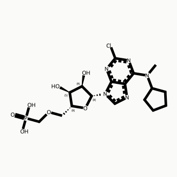 CN(c1nc(Cl)nc2c1ncn2[C@@H]1O[C@H](COCP(=O)(O)O)[C@@H](O)[C@H]1O)C1CCCC1